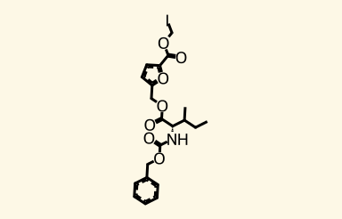 CCC(C)[C@H](NC(=O)OCc1ccccc1)C(=O)OCc1ccc(C(=O)OCI)o1